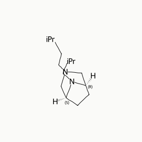 CC(C)CCN1C[C@H]2CC[C@@H](C1)N2CC(C)C